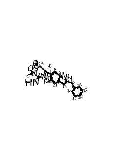 CN1C(=N)N[C@](C)(c2cc3[nH]c(Cc4ccccc4)cc3cc2F)CS1(=O)=O